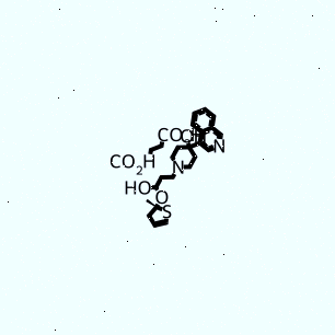 C[C@]1(OC(O)CCN2CCC(O)(c3cncc4ccccc34)CC2)CC=CS1.O=C(O)CCC(=O)O